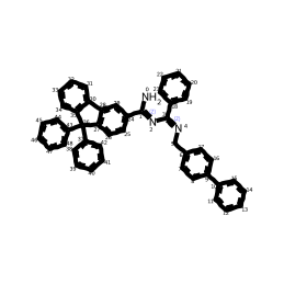 N/C(=N\C(=N/Cc1ccc(-c2ccccc2)cc1)c1ccccc1)c1ccc2c(c1)-c1ccccc1C2(c1ccccc1)c1ccccc1